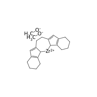 C1=C2CCC3=CC4=C(CCCC4)[CH]3[Zr+2][CH]2C2=C1CCCC2.C[O-].C[O-]